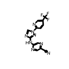 N#Cc1cnc(Nc2ncn(-c3ccc(C(F)(F)F)cn3)n2)cn1